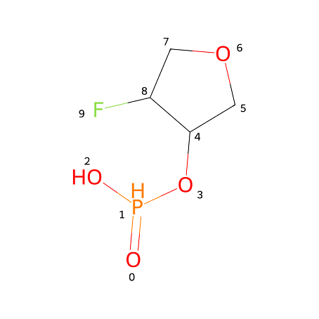 O=[PH](O)OC1COCC1F